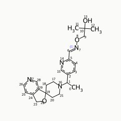 CC(c1ccc(/C=N/OCC(C)(C)O)nc1)N1CCC2(CC1)OCc1ccncc12